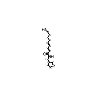 C#CCCC/C=C/C=C/C(=O)NCC1CCOC1